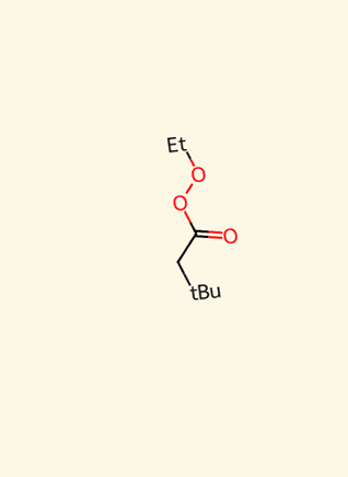 CCOOC(=O)CC(C)(C)C